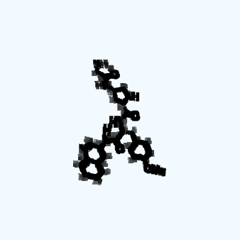 COc1ccc(C[C@@H](NC(=O)[C@@H]2C[C@@H](NC(=O)CN)CN2)C(=O)Nc2cnc3ccccc3c2)cc1